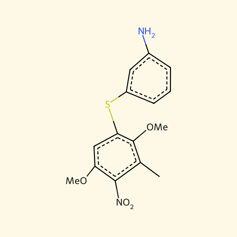 COc1cc(Sc2cccc(N)c2)c(OC)c(C)c1[N+](=O)[O-]